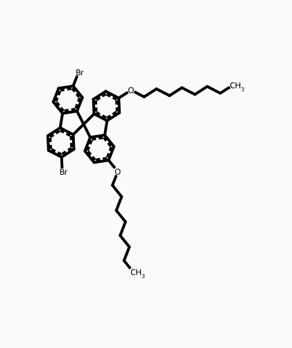 CCCCCCCCOc1ccc2c(c1)-c1cc(OCCCCCCCC)ccc1C21c2cc(Br)ccc2-c2ccc(Br)cc21